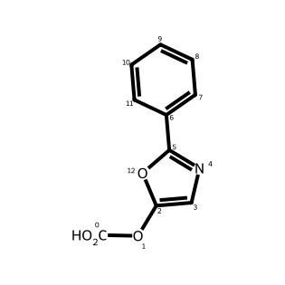 O=C(O)Oc1cnc(-c2ccccc2)o1